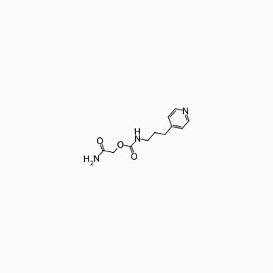 NC(=O)COC(=O)NCCCc1ccncc1